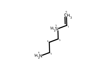 C=C[SiH2]CCCN